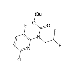 CC(C)(C)OC(=O)N(CC(F)F)c1nc(Cl)ncc1F